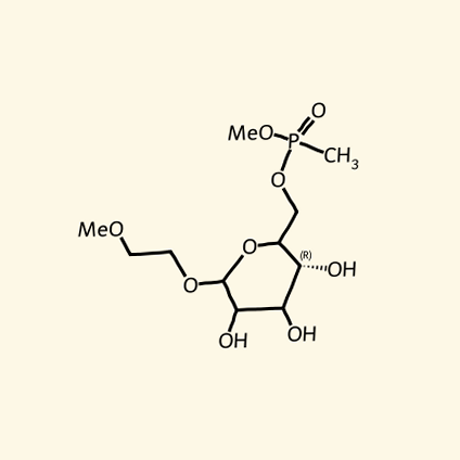 COCCOC1OC(COP(C)(=O)OC)[C@H](O)C(O)C1O